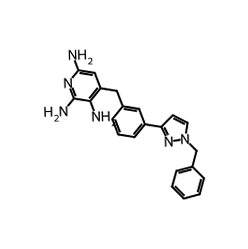 Nc1cc(Cc2cccc(-c3ccn(Cc4ccccc4)n3)c2)c(N)c(N)n1